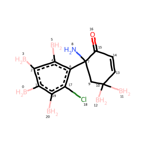 Bc1c(B)c(B)c(C2(N)CC(B)(B)C=CC2=O)c(Cl)c1B